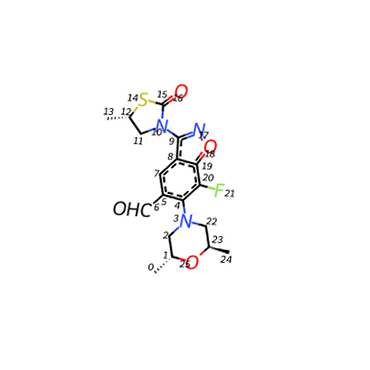 C[C@@H]1CN(c2c(C=O)cc3c(N4C[C@H](C)SC4=O)noc3c2F)C[C@@H](C)O1